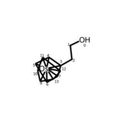 OCC[C]12[CH]3[CH]4[CH]5[CH]1[Os]45321678[CH]2[CH]1[CH]6[CH]7[CH]28